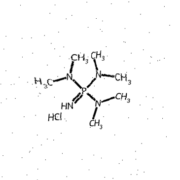 CN(C)P(=N)(N(C)C)N(C)C.Cl